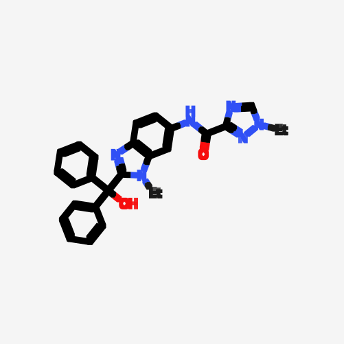 CCn1cnc(C(=O)Nc2ccc3nc(C(O)(c4ccccc4)c4ccccc4)n(CC)c3c2)n1